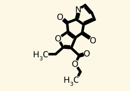 CCOC(=O)c1c(CC)oc2c1C(=O)c1cccnc1C2=O